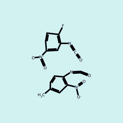 Cc1ccc(N=C=O)c([N+](=O)[O-])c1.O=C=Nc1cc([N+](=O)[O-])ccc1F